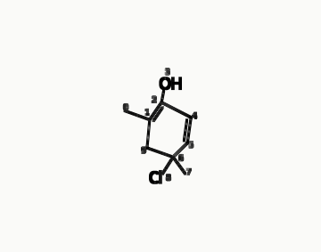 CC1=C(O)C=CC(C)(Cl)C1